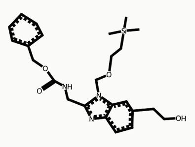 C[Si](C)(C)CCOCn1c(CNC(=O)OCc2ccccc2)nc2ccc(CCO)cc21